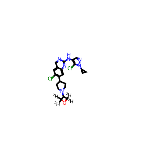 [2H]C1([2H])OC([2H])([2H])C1N1CCC(c2cc3nc(Nc4cnn(C5CC5)c4Cl)ncc3cc2Cl)CC1